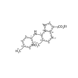 CCOC(=O)c1cnn2c(Nc3ccc(C)cc3)c(C(=O)O)cnc12